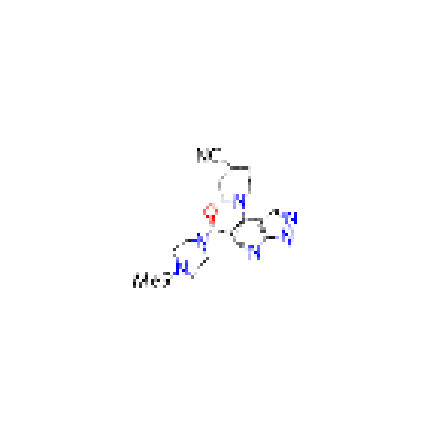 CSN1CCN(C(=O)c2cnc3c(cnn3C)c2N2CCC(C)(C#N)CC2)CC1